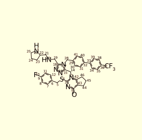 O=c1nc(SCc2ccc(F)cc2)n(Cc2nnc(CNCC3CCCN3)n2Cc2ccc(-c3ccc(C(F)(F)F)cc3)cc2)c2c1CCC2